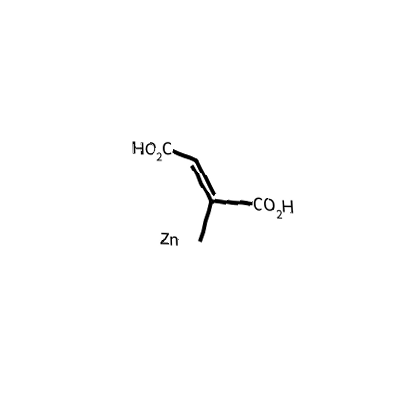 CC(=CC(=O)O)C(=O)O.[Zn]